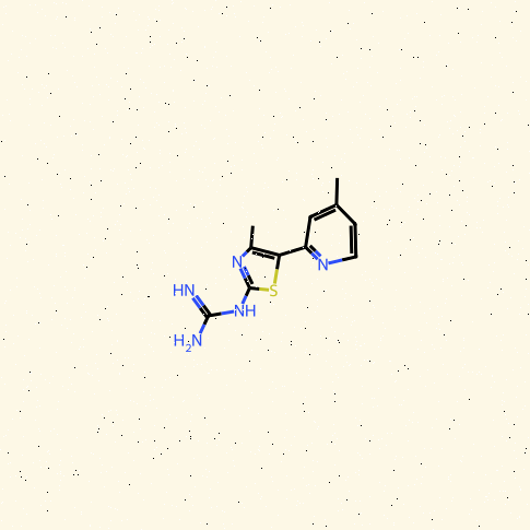 Cc1ccnc(-c2sc(NC(=N)N)nc2C)c1